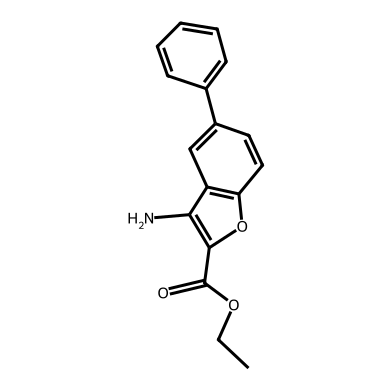 CCOC(=O)c1oc2ccc(-c3ccccc3)cc2c1N